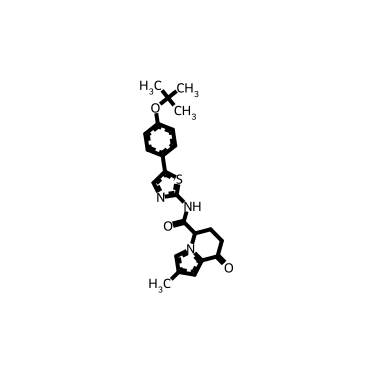 Cc1cc2n(c1)C(C(=O)Nc1ncc(-c3ccc(OC(C)(C)C)cc3)s1)CCC2=O